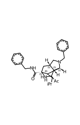 CC(=O)C1N[C@@]2(C(=O)NCc3ccccc3)C[C@@H]3CN(Cc4ccccc4)[C@@H]([C@H]13)[C@H]2CC(C)C